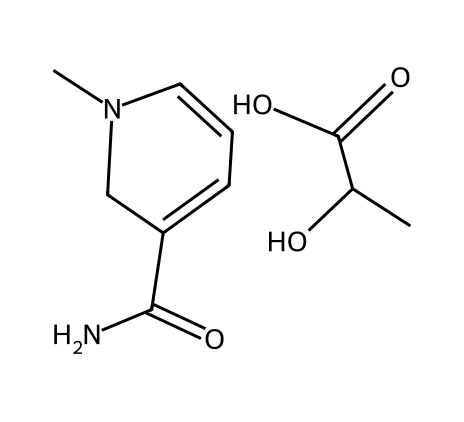 CC(O)C(=O)O.CN1C=CC=C(C(N)=O)C1